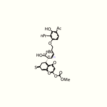 CCCC[C@H](O)[C@H](/C=C\CCOc1ccc(C(C)=O)c(O)c1CCC)C1=c2c(=O)cc(OC(=O)OC)oc2=CC(=S)C1